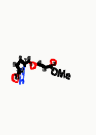 COC(=O)CCOC[C@@H]1CCC(=O)N1